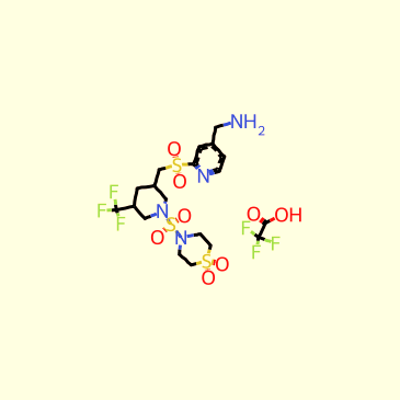 NCc1ccnc(S(=O)(=O)CC2CC(C(F)(F)F)CN(S(=O)(=O)N3CCS(=O)(=O)CC3)C2)c1.O=C(O)C(F)(F)F